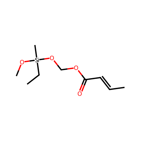 CC=CC(=O)OCO[Si](C)(CC)OC